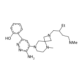 CCC(CCNC)CN1CC2(C1)CN(c1cc(-c3ccccc3O)nnc1N)CCN2C